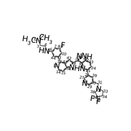 CN(C)CCNc1cc(F)cc(-c2nccc3[nH]c(-c4n[nH]c5ccc(-c6cncc(CN7CCC(F)(F)C7)c6)nc45)cc23)c1